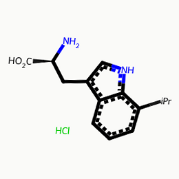 CC(C)c1cccc2c(C[C@H](N)C(=O)O)c[nH]c12.Cl